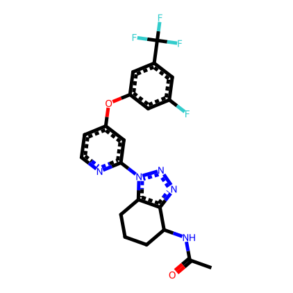 CC(=O)NC1CCCc2c1nnn2-c1cc(Oc2cc(F)cc(C(F)(F)F)c2)ccn1